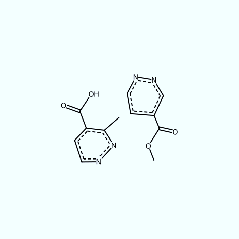 COC(=O)c1ccnnc1.Cc1nnccc1C(=O)O